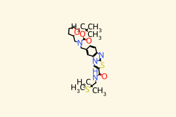 CSC(C)(C)CNC(=O)c1cn2c(nc3ccc(CN(CC4CCCO4)C(=O)OC(C)(C)C)cc32)s1